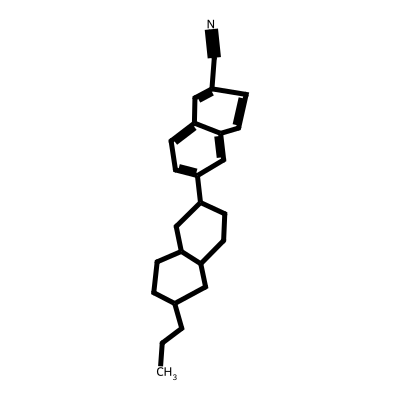 CCCC1CCC2CC(c3ccc4cc(C#N)ccc4c3)CCC2C1